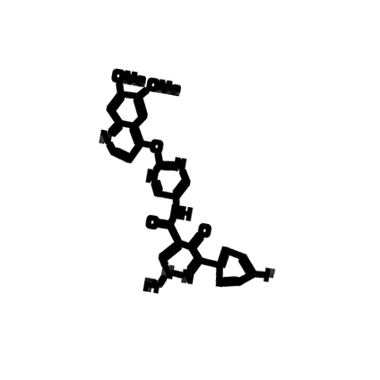 COc1cc2nccc(Oc3ncc(NC(=O)c4cn(C(C)C)nc(-c5ccc(F)cc5)c4=O)cn3)c2cc1OC